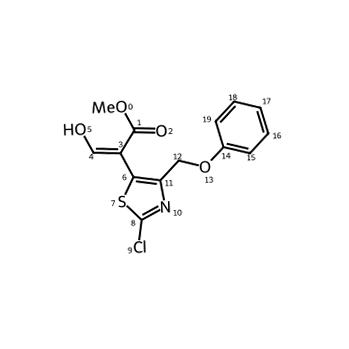 COC(=O)C(=CO)c1sc(Cl)nc1COc1ccccc1